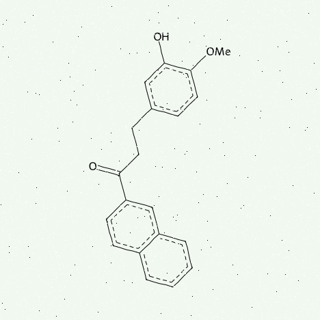 COc1ccc(CCC(=O)c2ccc3ccccc3c2)cc1O